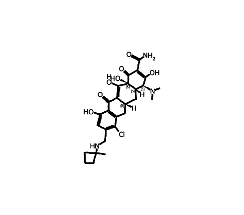 CN(C)[C@@H]1C(O)=C(C(N)=O)C(=O)[C@@]2(O)C(O)=C3C(=O)c4c(O)cc(CNC5(C)CCC5)c(Cl)c4C[C@H]3C[C@@H]12